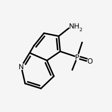 CP(C)(=O)c1c(N)ccc2ncccc12